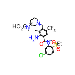 CCS(=O)(=O)c1ccc(Cl)cc1N(C)C(=O)c1cc(C(F)(F)F)c(CN2CCC[C@H](N(C)C(=O)O)C2)c(C)c1N